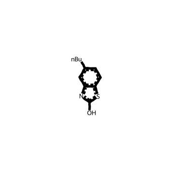 CCCCc1ccc2sc(O)nc2c1